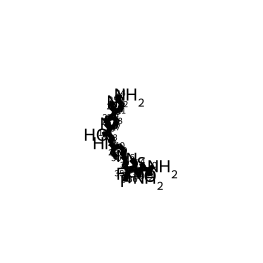 NC(=O)c1sc2nc(N3CCC(NCC(O)c4ccc(-c5ccc(N)nc5)cn4)CC3)cc(C(F)(F)F)c2c1N